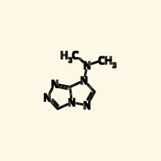 CN(C)n1cnn2cnnc12